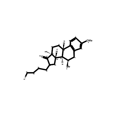 CCC[C@@H]1Cc2cc(OC)ccc2[C@H]2CC[C@]3(C)C(=O)C(CCCCI)C[C@H]3[C@H]12